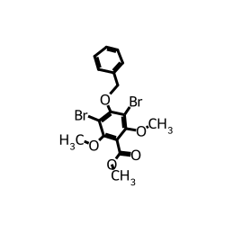 COC(=O)c1c(OC)c(Br)c(OCc2ccccc2)c(Br)c1OC